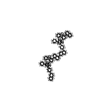 c1ccc(-c2nc(-c3ccc(-c4cccc5cc(-c6cccc7c(-c8ccc(-c9nc(-c%10ccccc%10)nc(-c%10ccc(-c%11ccc%12ccccc%12c%11)cc%10)n9)c9c8oc8ccccc89)cccc67)ccc45)cc3)nc(-c3ccc(-c4cccc5ccccc45)c4oc5ccccc5c34)n2)cc1